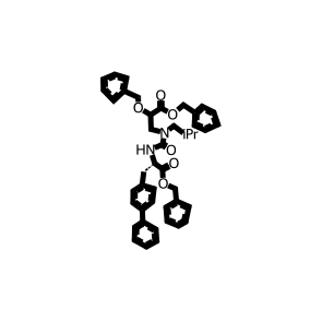 CC(C)CN(CC(OCc1ccccc1)C(=O)OCc1ccccc1)C(=O)N[C@@H](Cc1ccc(-c2ccccc2)cc1)C(=O)OCc1ccccc1